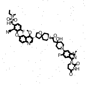 CCN(C)S(=O)(=O)Nc1ccc(F)c(Oc2ccc3ncc([C@@H]4COC5(CCN(C(=O)CC6(O)CCN(c7cc8c(cc7F)c(N7CCC(=O)NC7=O)nn8C)CC6)CC5)C4)c(OC)c3c2)c1C#N